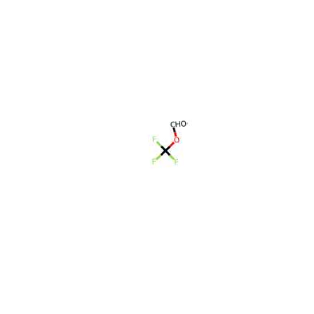 O=[C]OC(F)(F)F